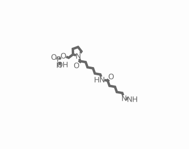 N=NCCCCC(=O)NCCCCCC(=O)N1CCCC1CO[PH](=O)O